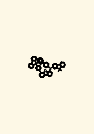 CC1(C)c2ccccc2-c2ccc(N(c3ccc(-c4ccccc4)cc3)c3cccc4c3oc3c(-c5ccc(C6(c7ccccc7)c7ccccc7-c7ccccc76)cc5)cccc34)cc21